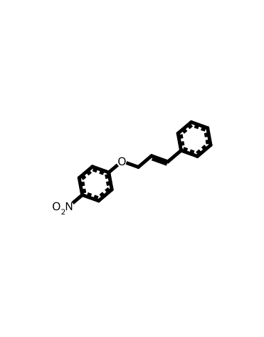 O=[N+]([O-])c1ccc(OCC=Cc2ccccc2)cc1